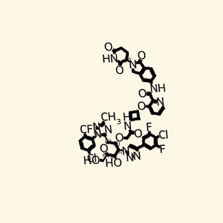 Cc1nc([C@@H]2O[C@H](CO)[C@H](O)[C@H](n3cc(-c4cc(F)c(Cl)c(F)c4)nn3)[C@H]2OCC(=O)N[C@H]2C[C@@H](Oc3cccnc3C(=O)Nc3ccc4c(c3)CN([C@@H]3CCC(=O)NC3=O)C4=O)C2)n(-c2cc(Cl)ccc2C(F)(F)F)n1